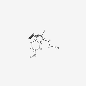 C#N.COc1ccc2[nH]c(C)c(CCN)c2c1